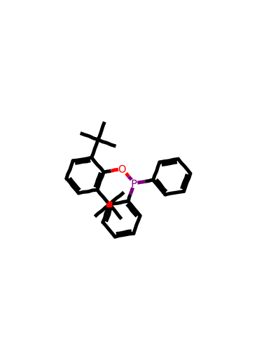 CC(C)(C)c1cccc(C(C)(C)C)c1OP(c1ccccc1)c1ccccc1